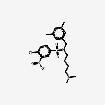 Cc1cc(C)cc(CN(CCCCN(C)C)S(=O)(=O)c2ccc(Cl)c([N+](=O)[O-])c2)c1